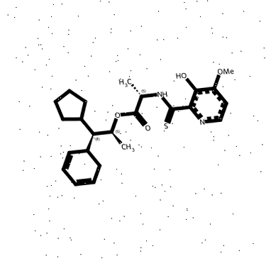 COc1ccnc(C(=S)N[C@@H](C)C(=O)O[C@@H](C)[C@@H](C2C=CC=CC2)C2CCCC2)c1O